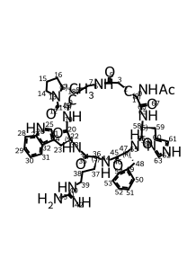 CC(=O)N[C@H]1CCC(=O)NCCC[C@@H](C(=O)N2CCC[C@@H]2C)NC(=O)[C@H](Cc2c[nH]c3ccccc23)NC(=O)[C@H](CCCNC(=N)N)NC(=O)[C@@H](Cc2ccccc2)NC(=O)[C@H](Cc2c[nH]cn2)NC1=O